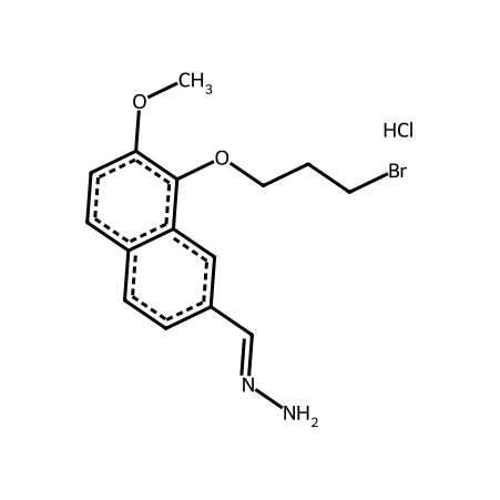 COc1ccc2ccc(C=NN)cc2c1OCCCBr.Cl